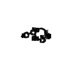 C[C@H]1CCCOc2ncc(C3=CCN(C)CC3)cc2C(=O)Nc2cccc(n2)-c2nncn21